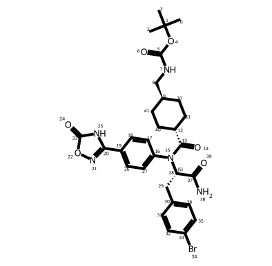 CC(C)(C)OC(=O)NC[C@H]1CC[C@H](C(=O)N(c2ccc(-c3noc(=O)[nH]3)cc2)[C@@H](Cc2ccc(Br)cc2)C(N)=O)CC1